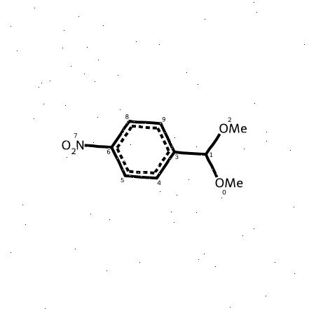 COC(OC)c1ccc([N+](=O)[O-])cc1